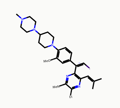 CCc1nc(C=C(C)C)c(/C(=C\I)c2ccc(N3CCC(N4CCN(C)CC4)CC3)c(OC)c2)nc1NC